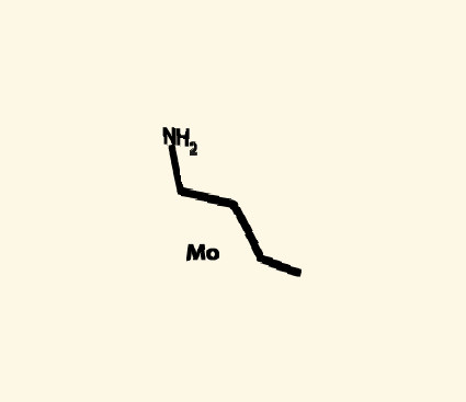 CCCCN.[Mo]